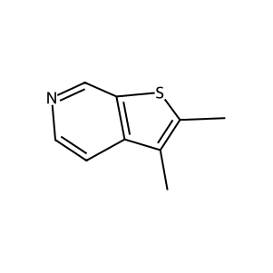 Cc1sc2cnccc2c1C